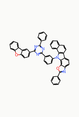 c1ccc(-c2nc(-c3cccc(-n4c5c6ccccc6ccc5c5ccc6nc(-c7ccccc7)oc6c54)c3)nc(-c3ccc4oc5ccccc5c4c3)n2)cc1